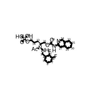 CC(=O)N(NCc1cccc(F)c1F)[C@@H](CCCOP(=O)(O)O)COC(=O)Nc1cc2ccccc2cn1